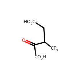 O=C(O)CC(C(=O)C(=O)O)C(F)(F)F